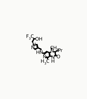 Cc1nc(NCc2cnn(CC(O)C(F)(F)F)c2)cc2c1NC(=O)C(C(C)C)N2C